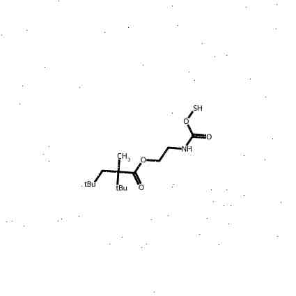 CC(C)(C)CC(C)(C(=O)OCCNC(=O)OS)C(C)(C)C